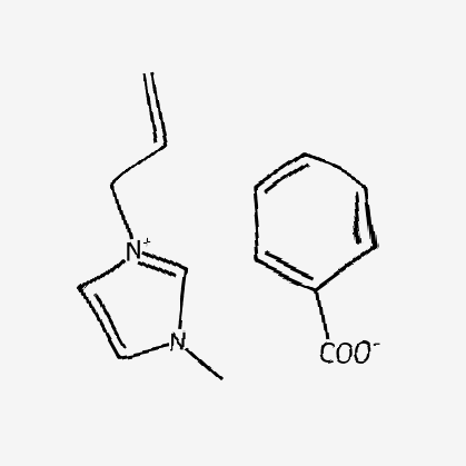 C=CC[n+]1ccn(C)c1.O=C([O-])c1ccccc1